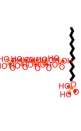 CCCCCCCCCCCCCOP(=O)(O)O.O=P(O)(O)O.O=P(O)(O)O.O=P(O)(O)O.O=P(O)(O)O.O=P(O)(O)O